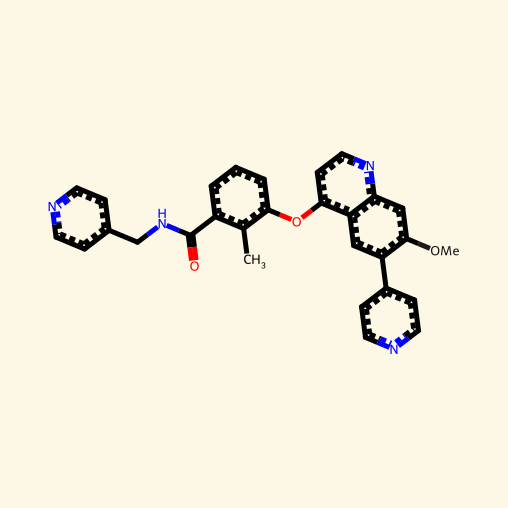 COc1cc2nccc(Oc3cccc(C(=O)NCc4ccncc4)c3C)c2cc1-c1ccncc1